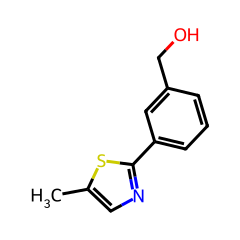 Cc1cnc(-c2cccc(CO)c2)s1